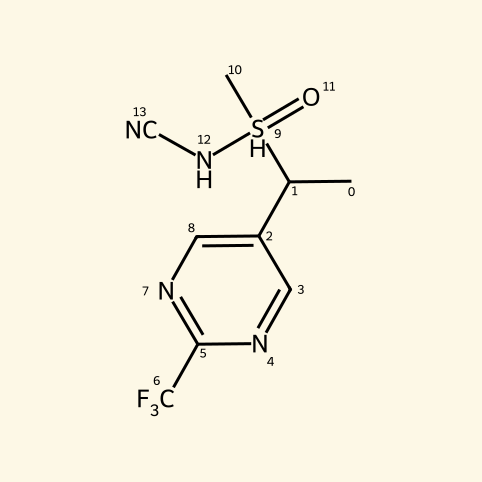 CC(c1cnc(C(F)(F)F)nc1)[SH](C)(=O)NC#N